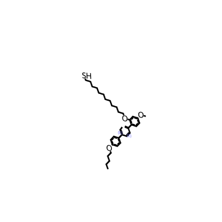 C=C(/C=C\C(=C/C)c1ccc(OCCCCC)cc1)c1ccc(OC)cc1OCCCCCCCCCCCCS